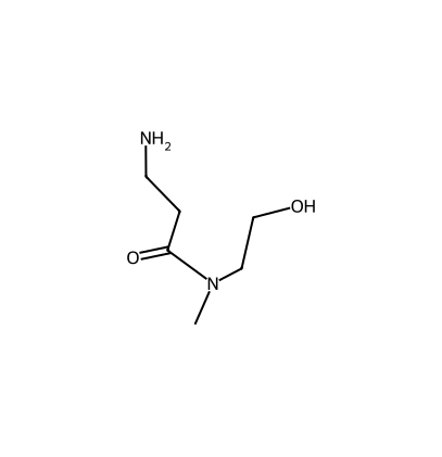 CN(CCO)C(=O)CCN